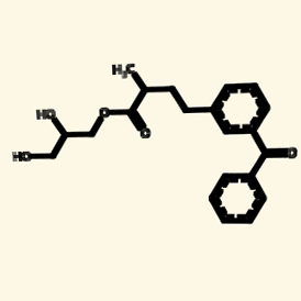 CC(CCc1cccc(C(=O)c2ccccc2)c1)C(=O)OCC(O)CO